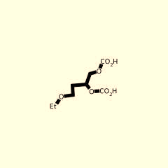 CCOCCC(COC(=O)O)OC(=O)O